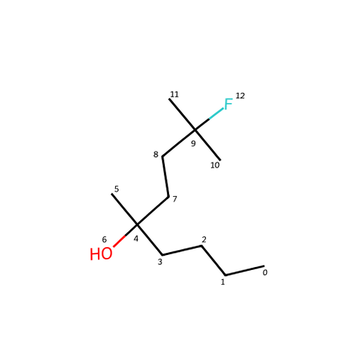 CCCCC(C)(O)CCC(C)(C)F